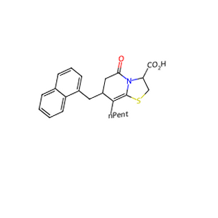 CCCCCC1=C2SCC(C(=O)O)N2C(=O)CC1Cc1cccc2ccccc12